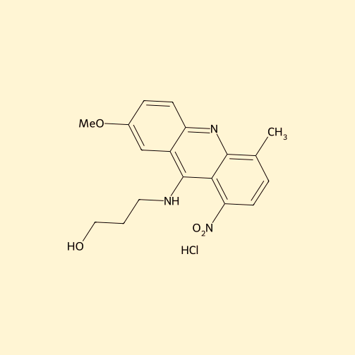 COc1ccc2nc3c(C)ccc([N+](=O)[O-])c3c(NCCCO)c2c1.Cl